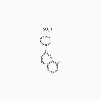 Cc1cccc2ccc(-c3ccc(S(=O)(=O)O)cc3)cc12